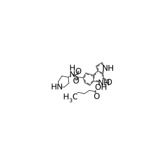 CCCCC(=O)O.O=c1[nH]c2ccc(S(=O)(=O)NC3CCNCC3)cc2c2cc[nH]c12